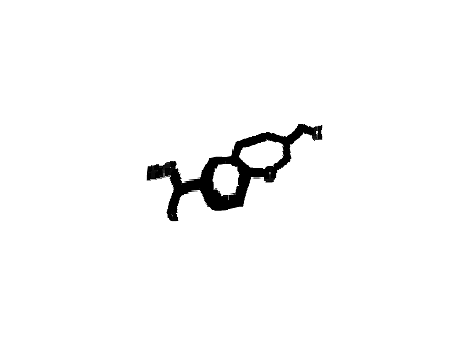 COC(=O)c1ccc2c(c1)C=C/C(=C/Cl)CO2